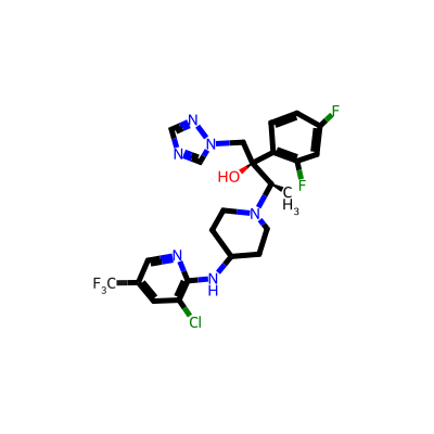 C[C@@H](N1CCC(Nc2ncc(C(F)(F)F)cc2Cl)CC1)[C@](O)(Cn1cncn1)c1ccc(F)cc1F